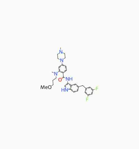 COCCCN(C)c1cc(N2CCN(C)CC2)ccc1C(=O)Nc1c[nH]c2ccc(Cc3cc(F)cc(F)c3)cc12